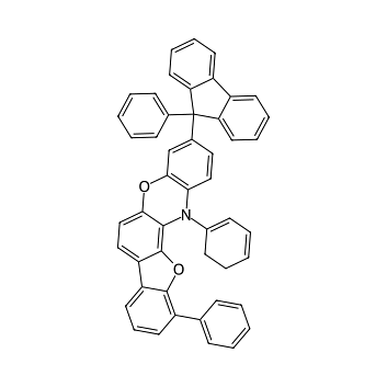 C1=CCCC(N2c3ccc(C4(c5ccccc5)c5ccccc5-c5ccccc54)cc3Oc3ccc4c(oc5c(-c6ccccc6)cccc54)c32)=C1